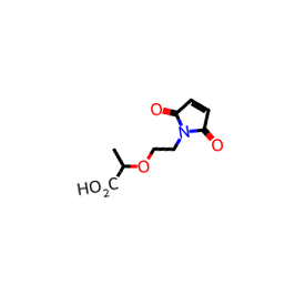 CC(OCCN1C(=O)C=CC1=O)C(=O)O